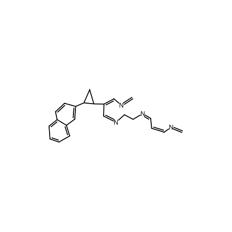 C=N/C=C\C=N/CC/N=C\C(=C/N=C)C1CC1c1ccc2ccccc2c1